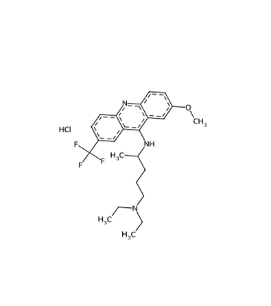 CCN(CC)CCCC(C)Nc1c2cc(OC)ccc2nc2ccc(C(F)(F)F)cc12.Cl